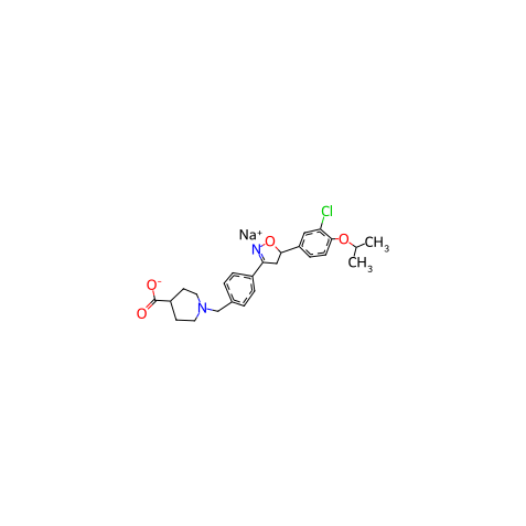 CC(C)Oc1ccc(C2CC(c3ccc(CN4CCC(C(=O)[O-])CC4)cc3)=NO2)cc1Cl.[Na+]